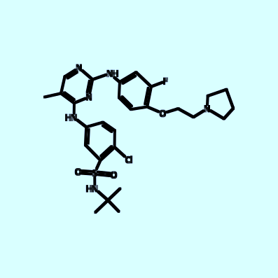 Cc1cnc(Nc2ccc(OCCN3CCCC3)c(F)c2)nc1Nc1ccc(Cl)c(S(=O)(=O)NC(C)(C)C)c1